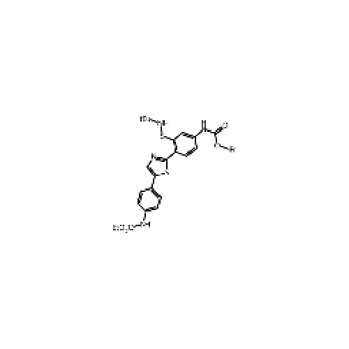 CCOC(=O)Nc1ccc(-c2cnc(-c3ccc(NC(=O)OC(C)C)cc3SNC(C)(C)C)s2)cc1